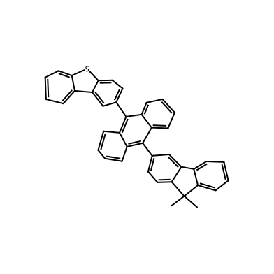 CC1(C)c2ccccc2-c2cc(-c3c4ccccc4c(-c4ccc5sc6ccccc6c5c4)c4ccccc34)ccc21